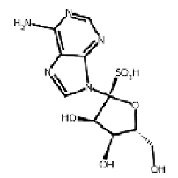 Nc1ncnc2c1ncn2[C@]1(S(=O)(=O)O)O[C@H](CO)[C@@H](O)[C@H]1O